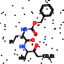 CCCCC(NC(=O)[C@H](CC(C)C)NC(=O)OCc1ccccc1)C(=O)CC(=O)OCC